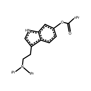 CCCC(=O)Oc1ccc2c(CCN(C(C)C)C(C)C)c[nH]c2c1